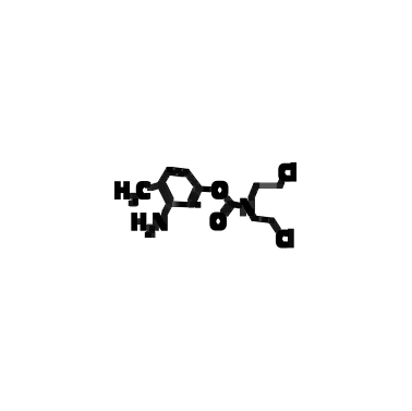 Cc1ccc(OC(=O)N(CCCl)CCCl)[c]c1N